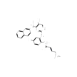 CN(C)C/C=C/C(=O)Nc1ccc(F)cc1Nc1ncc(Cl)c(Nc2ccc3ccccc3c2)n1